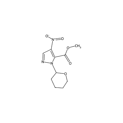 COC(=O)c1c([N+](=O)[O-])cnn1C1CCCCO1